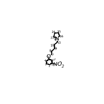 O=[N+]([O-])c1cccc(OCCCCCN2CCCC2)c1